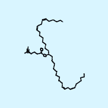 CCCCC/C=C\C/C=C\CCCCCCCCCC(CCCCCCC/C=C\C/C=C\CCCCC)OC(=O)CCCN(C)C